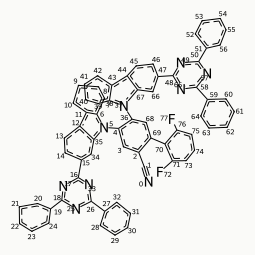 N#Cc1cc(-n2c3ccccc3c3ccc(-c4nc(-c5ccccc5)nc(-c5ccccc5)n4)cc32)c(-n2c3ccccc3c3ccc(-c4nc(-c5ccccc5)nc(-c5ccccc5)n4)cc32)cc1-c1c(F)cccc1F